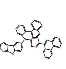 c1ccc(N(c2ccc(-c3cc4ccccc4c4ccccc34)cc2)c2ccc3sc4ccccc4c3c2)c(-c2cccc3ccccc23)c1